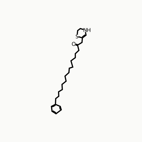 O=C(CCCCCCCCCCCCCCc1ccccc1)CC1=CNCCS1